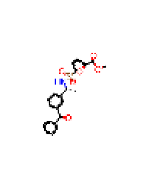 COC(=O)c1ccc(S(=O)(=O)N[C@H](C)c2cccc(C(=O)c3ccccc3)c2)o1